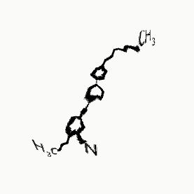 CCCCCCCc1ccc([C@H]2CC[C@H](C#Cc3ccc(CCCC)c(C#N)c3)CC2)cc1